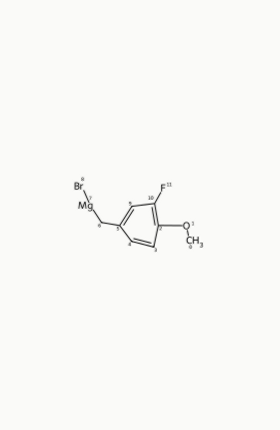 COc1ccc([CH2][Mg][Br])cc1F